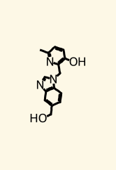 Cc1ccc(O)c(Cn2cnc3cc(CO)ccc32)n1